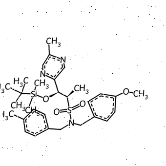 COc1ccc(CN(Cc2ccc(C)cc2)S(=O)(=O)[C@H](C)[C@@H](O[Si](C)(C)C(C)(C)C)c2cnc(C)cn2)cc1